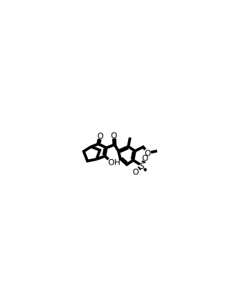 COCc1c(S(C)(=O)=O)ccc(C(=O)C2=C(O)C3CCC(C3)C2=O)c1C